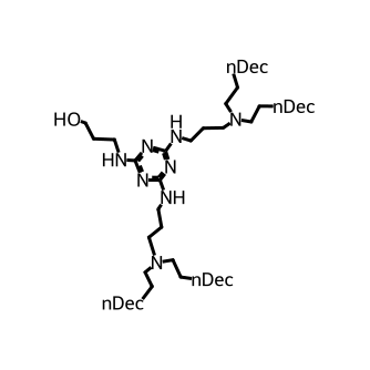 CCCCCCCCCCCCN(CCCCCCCCCCCC)CCCNc1nc(NCCCO)nc(NCCCN(CCCCCCCCCCCC)CCCCCCCCCCCC)n1